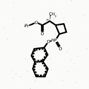 CC(C)OC(=O)[C@H](C)C1CCC1[PH](=O)Oc1ccc2ccccc2c1